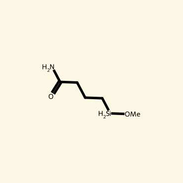 CO[SiH2]CCCC(N)=O